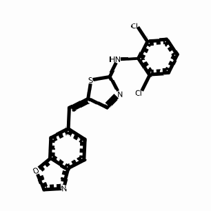 Clc1cccc(Cl)c1NC1N=CC(=Cc2ccc3ncoc3c2)S1